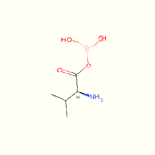 CC(C)[C@H](N)C(=O)OB(O)O